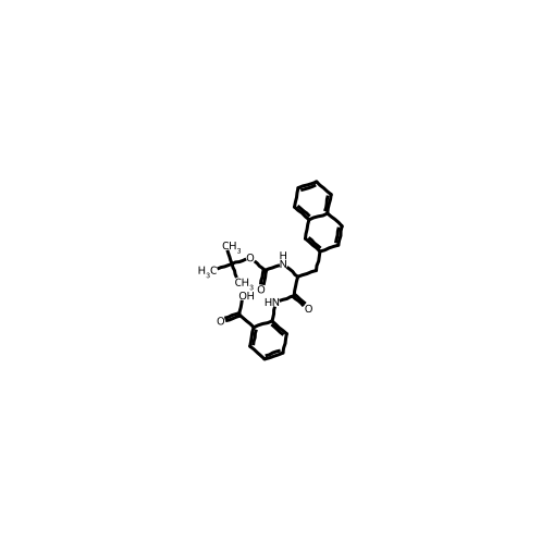 CC(C)(C)OC(=O)NC(Cc1ccc2ccccc2c1)C(=O)Nc1ccccc1C(=O)O